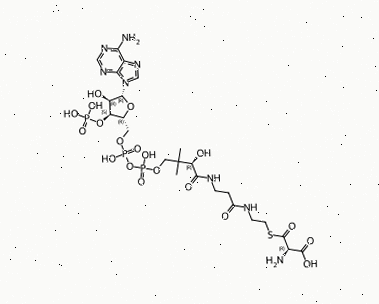 CC(C)(COP(=O)(O)OP(=O)(O)OC[C@H]1O[C@@H](n2cnc3c(N)ncnc32)[C@H](O)[C@@H]1OP(=O)(O)O)[C@@H](O)C(=O)NCCC(=O)NCCSC(=O)[C@H](N)C(=O)O